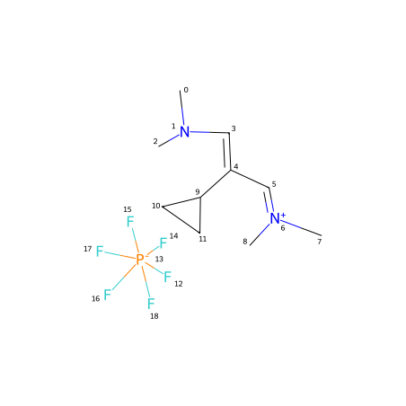 CN(C)/C=C(/C=[N+](C)C)C1CC1.F[P-](F)(F)(F)(F)F